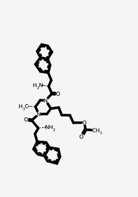 CC(=O)OCCCCC1CN(C(=O)[C@H](N)Cc2ccc3ccccc3c2)[C@H](C)CN1C(=O)[C@H](N)Cc1ccc2ccccc2c1